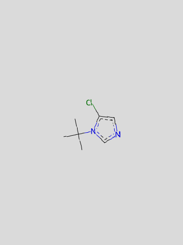 CC(C)(C)n1cncc1Cl